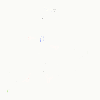 O=C(c1ccc(OC(F)F)c2oc3ccc(C(F)(F)F)cc3c12)[NH+]([O-])c1cccnc1